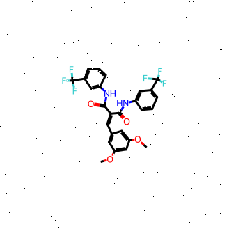 COc1cc(C=C(C(=O)Nc2cccc(C(F)(F)F)c2)C(=O)Nc2cccc(C(F)(F)F)c2)cc(OC)c1